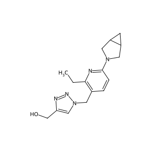 CCc1nc(N2CC3CC3C2)ccc1Cn1cc(CO)nn1